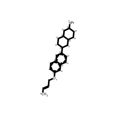 C/C=C/COc1ccc2cc(C3CCC4CC(CCC)CCC4C3)ccc2c1